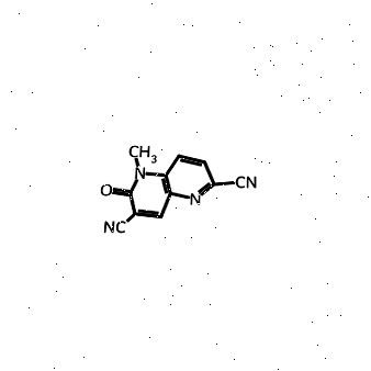 Cn1c(=O)c(C#N)cc2nc(C#N)ccc21